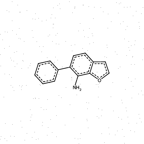 Nc1c(-c2ccccc2)ccc2ccoc12